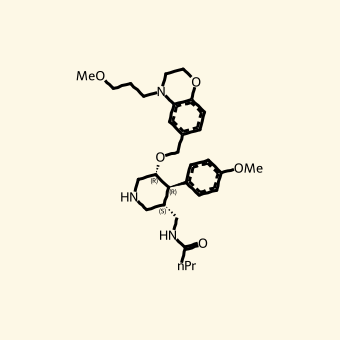 CCCC(=O)NC[C@@H]1CNC[C@H](OCc2ccc3c(c2)N(CCCOC)CCO3)[C@H]1c1ccc(OC)cc1